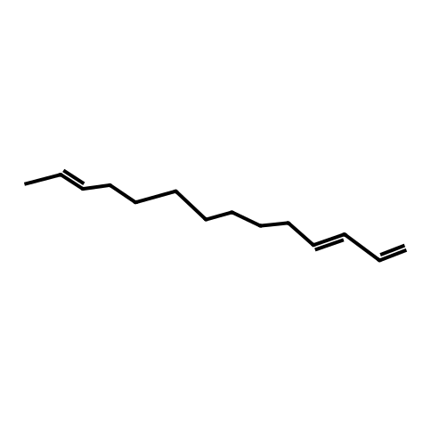 C=CC=CCCCCCCCC=CC